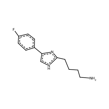 NCCCCc1nc(-c2ccc(F)cc2)c[nH]1